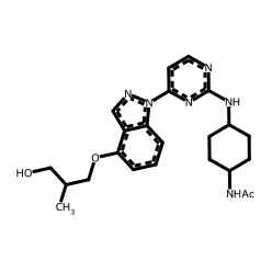 CC(=O)NC1CCC(Nc2nccc(-n3ncc4c(OCC(C)CO)cccc43)n2)CC1